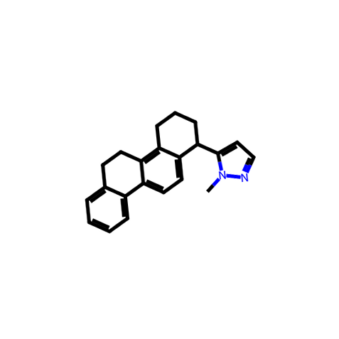 Cn1nccc1C1CCCc2c1ccc1c2CCc2ccccc2-1